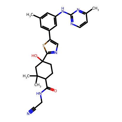 Cc1cc(Nc2nccc(C)n2)cc(-c2cnc(C3(O)CCC(C(=O)NCC#N)C(C)(C)C3)s2)c1